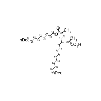 C=C(CCCCCCCCCCCCCCCCCCCCCC)C(=O)OCCCCCCCCCCCCCCCCCC.C=CC(=O)O